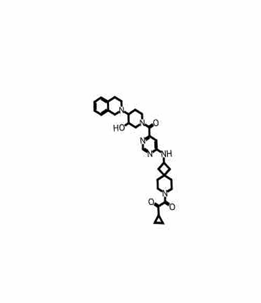 O=C(C(=O)N1CCC2(CC1)CC(Nc1cc(C(=O)N3CCC(N4CCc5ccccc5C4)C(O)C3)ncn1)C2)C1CC1